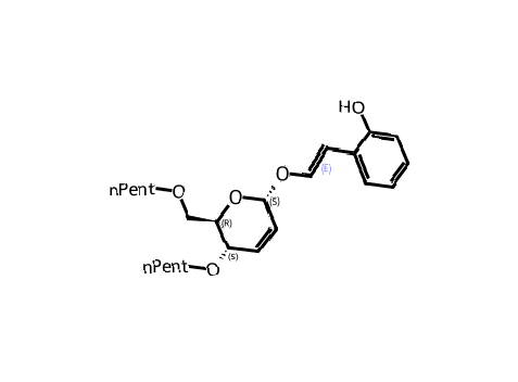 CCCCCOC[C@H]1O[C@H](O/C=C/c2ccccc2O)C=C[C@@H]1OCCCCC